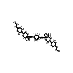 CCCC1CCC(C2CCC(O)(C#Cc3ccc(C#CC4(O)CCC(C5CCC(CCC)CC5)CC4)cc3)CC2)CC1